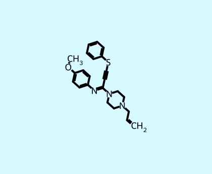 C=CCN1CCN(C(C#CSc2ccccc2)=Nc2ccc(OC)cc2)CC1